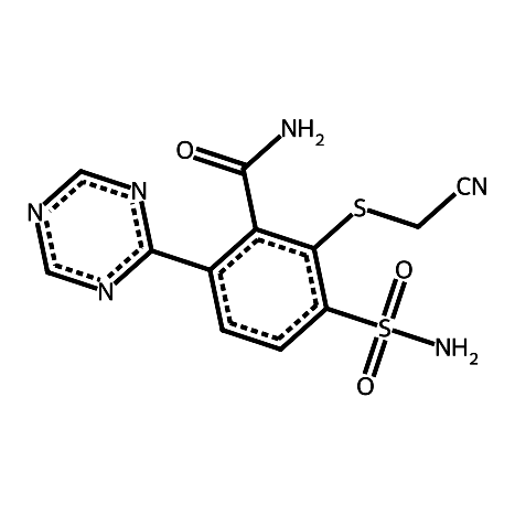 N#CCSc1c(S(N)(=O)=O)ccc(-c2ncncn2)c1C(N)=O